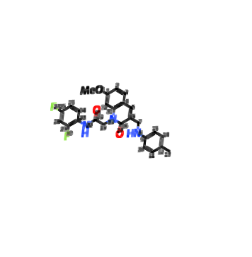 COc1ccc2cc(CNc3ccc(C)cc3)c(=O)n(CC(=O)Nc3ccc(F)cc3F)c2c1